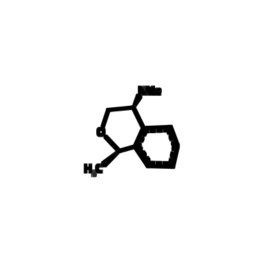 CN[C@@H]1CO[C@H](C)c2ccccc21